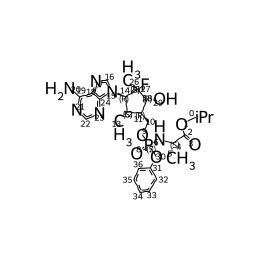 CC(C)OC(=O)[C@H](C)N[P@](=O)(OC[C@H]1[C@H](C)[C@@H](n2cnc3c(N)ncnc32)[C@](C)(F)[C@@H]1O)Oc1ccccc1